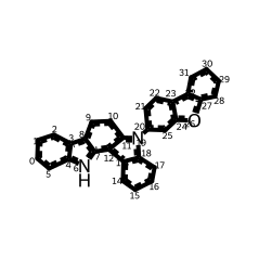 c1ccc2c(c1)[nH]c1c2ccc2c1c1ccccc1n2-c1ccc2c(c1)oc1ccccc12